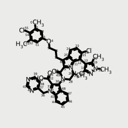 Cc1cc(OCCCc2c3n(c4c(-c5c(C)nn(C)c5C)c(Cl)ccc24)[C@H](C)CN(c2c(C(=O)O)n(Cc4ccncn4)c4ccccc24)C3=O)cc(C)c1Cl